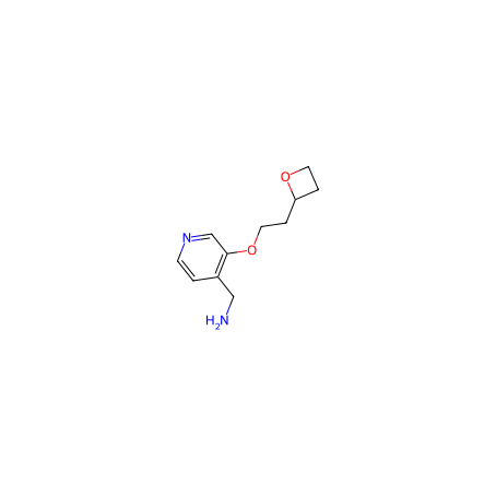 NCc1ccncc1OCCC1CCO1